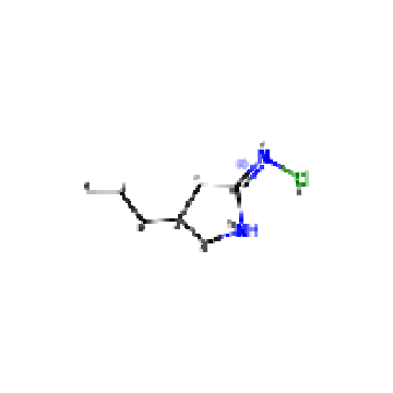 CCCC1CN/C(=N\Cl)C1